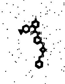 O=C(Nc1cccc(OC2CC(OCc3ccccc3)C2)n1)c1ccc(I)cc1N1CCC2(CC1)CC2